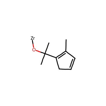 CC1=C(C(C)(C)[O][Zr])CC=C1